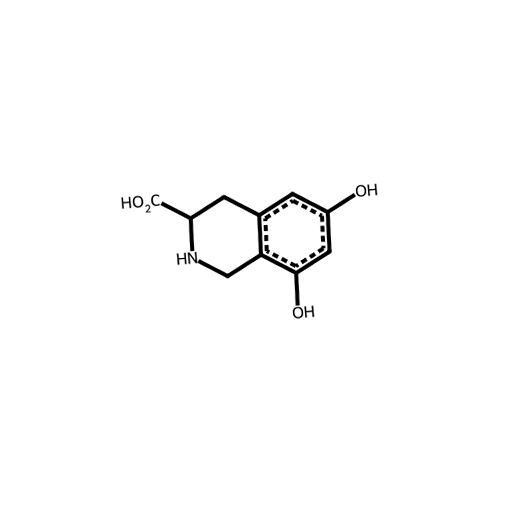 O=C(O)C1Cc2cc(O)cc(O)c2CN1